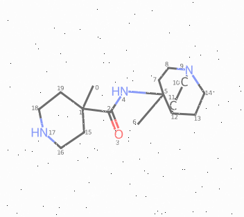 CC1(C(=O)NC2(C)CCN3CCC2CC3)CCNCC1